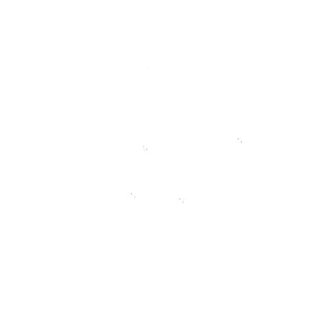 Cc1ccc(-c2ccc3c(c2)c2ccccc2n3-c2cc(-c3cccnc3-c3ccccc3)cc(-n3c4ccccc4c4cc(-c5ccc(C)cc5C)ccc43)c2C#N)c(C)c1